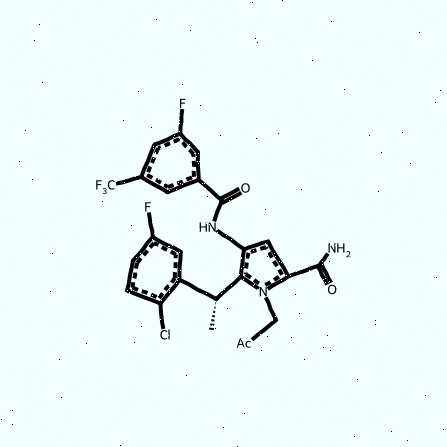 CC(=O)Cn1c(C(N)=O)cc(NC(=O)c2cc(F)cc(C(F)(F)F)c2)c1[C@H](C)c1cc(F)ccc1Cl